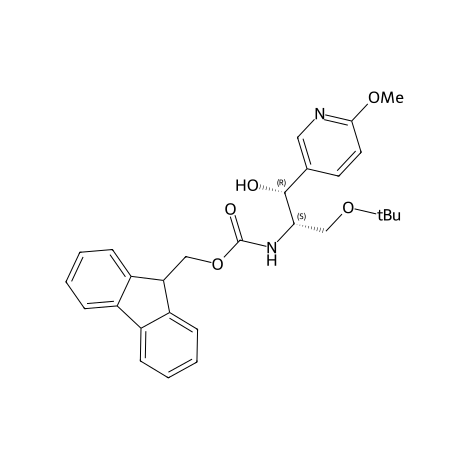 COc1ccc([C@@H](O)[C@H](COC(C)(C)C)NC(=O)OCC2c3ccccc3-c3ccccc32)cn1